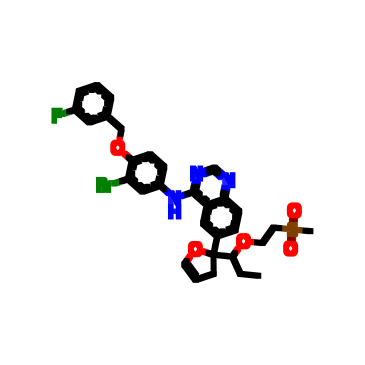 CCC(OCCS(C)(=O)=O)C1(c2ccc3ncnc(Nc4ccc(OCc5cccc(F)c5)c(Br)c4)c3c2)CC=CO1